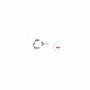 CNP(=O)(OC)SCc1nc(C)cc(C)n1